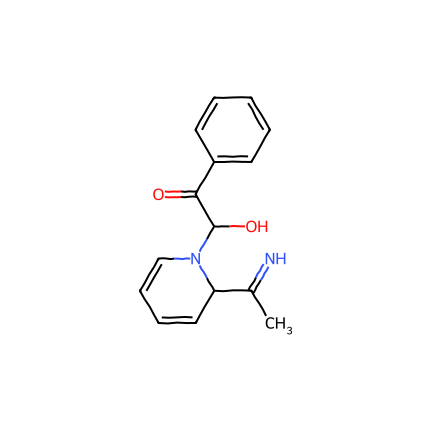 CC(=N)C1C=CC=CN1C(O)C(=O)c1ccccc1